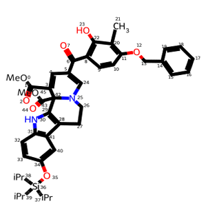 COC(=O)C1=CC(C(=O)c2ccc(OCc3ccccc3)c(C)c2O)=CN2CCc3c([nH]c4ccc(O[Si](C(C)C)(C(C)C)C(C)C)cc34)C12C(=O)OC